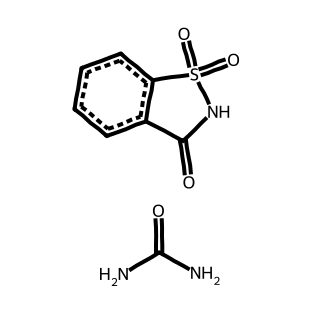 NC(N)=O.O=C1NS(=O)(=O)c2ccccc21